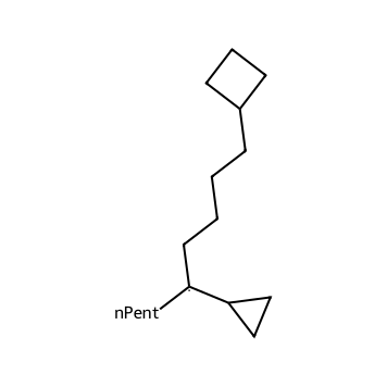 CCCCC[C](CCCCC1CCC1)C1CC1